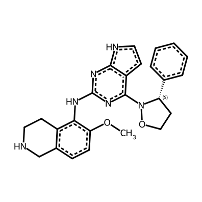 COc1ccc2c(c1Nc1nc(N3OCC[C@H]3c3ccccc3)c3cc[nH]c3n1)CCNC2